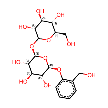 OCc1ccccc1O[C@@H]1O[C@H](OC2O[C@H](CO)[C@@H](O)[C@H](O)[C@H]2O)[C@@H](O)[C@H](O)[C@H]1O